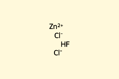 F.[Cl-].[Cl-].[Zn+2]